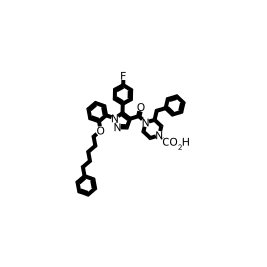 O=C(O)N1CCN(C(=O)c2cnn(-c3ccccc3OCCCCCc3ccccc3)c2-c2ccc(F)cc2)C(Cc2ccccc2)C1